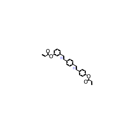 C=CC(=O)Oc1ccc(/C=C/c2ccc(/C=C/c3cccc(OC(=O)C=C)c3)cc2)cc1